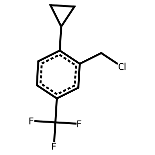 FC(F)(F)c1ccc(C2CC2)c(CCl)c1